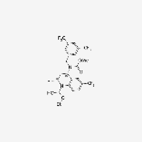 CCOC(O)N1c2ccc(C(F)(F)F)cc2[C@@H](N(Cc2cc(C(F)(F)F)cc(C(F)(F)F)c2)C(=O)OC)C[C@H]1CC